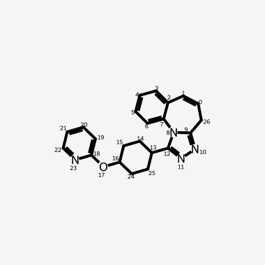 C1=Cc2ccccc2-n2c(nnc2C2CCC(Oc3ccccn3)CC2)C1